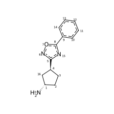 N[C@H]1CC[C@H](c2noc(-c3ccccc3)n2)C1